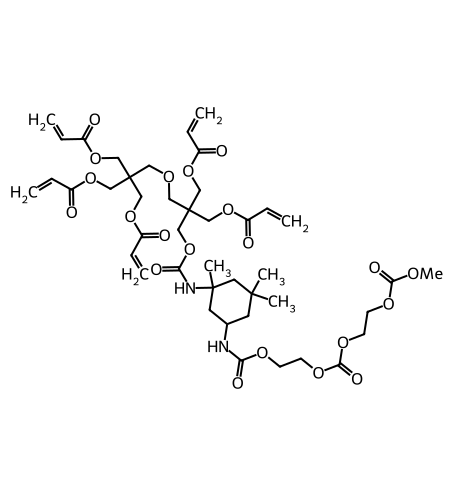 C=CC(=O)OCC(COCC(COC(=O)C=C)(COC(=O)C=C)COC(=O)NC1(C)CC(NC(=O)OCCOC(=O)OCCOC(=O)OC)CC(C)(C)C1)(COC(=O)C=C)COC(=O)C=C